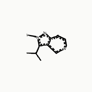 CC(C)c1c2cnccc2nn1I